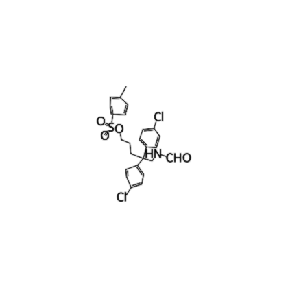 Cc1ccc(S(=O)(=O)OCCCC(CNC=O)(c2ccc(Cl)cc2)c2ccc(Cl)cc2)cc1